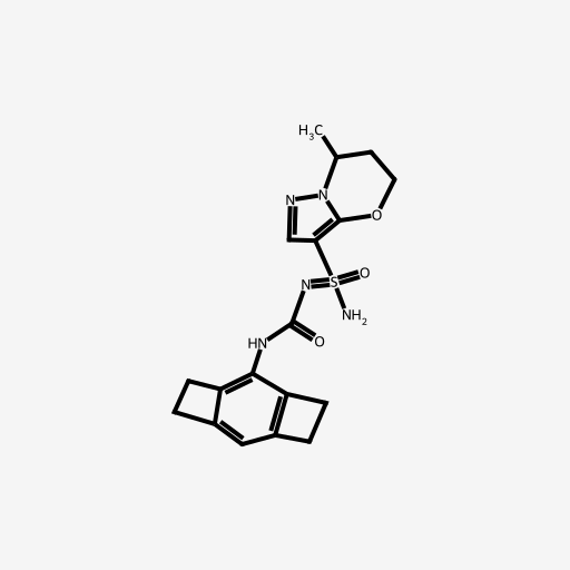 CC1CCOc2c(S(N)(=O)=NC(=O)Nc3c4c(cc5c3CC5)CC4)cnn21